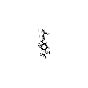 CC(=O)Nc1ccc(C=NNC(N)=S)cc1.[Cd]